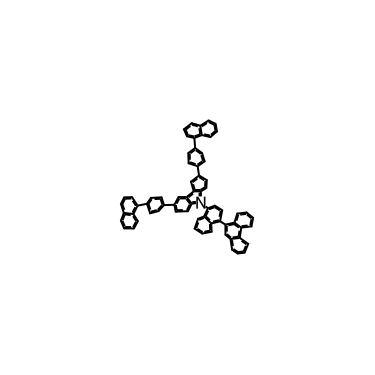 c1ccc2c(-c3ccc(-c4ccc5c(c4)c4cc(-c6ccc(-c7cccc8ccccc78)cc6)ccc4n5-c4ccc(-c5cc6ccccc6c6ccccc56)c5ccccc45)cc3)cccc2c1